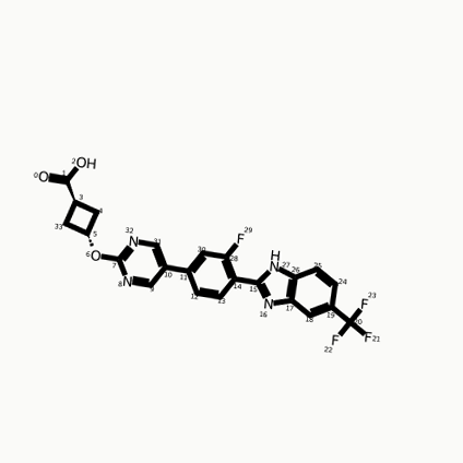 O=C(O)[C@H]1C[C@H](Oc2ncc(-c3ccc(-c4nc5cc(C(F)(F)F)ccc5[nH]4)c(F)c3)cn2)C1